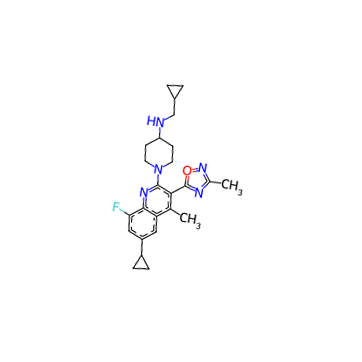 Cc1noc(-c2c(N3CCC(NCC4CC4)CC3)nc3c(F)cc(C4CC4)cc3c2C)n1